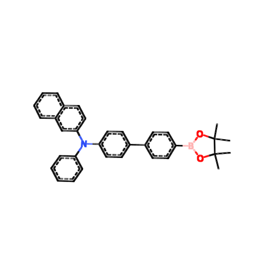 CC1(C)OB(c2ccc(-c3ccc(N(c4ccccc4)c4ccc5ccccc5c4)cc3)cc2)OC1(C)C